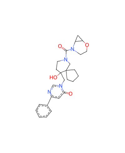 O=C(N1CCC(O)(Cn2cnc(-c3ccccc3)cc2=O)C2(CCCC2)C1)N1CCOC2CC21